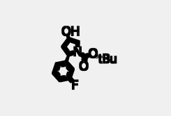 CC(C)(C)OC(=O)N1C[C@H](O)C[C@@H]1c1cccc(F)c1